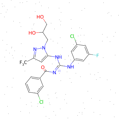 O=C(/N=C(/Nc1cc(F)cc(Cl)c1)Nc1cc(C(F)(F)F)nn1CC(O)CO)c1cccc(Cl)c1